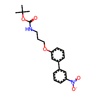 CC(C)(C)OC(=O)NCCCOc1cccc(-c2cccc([N+](=O)[O-])c2)c1